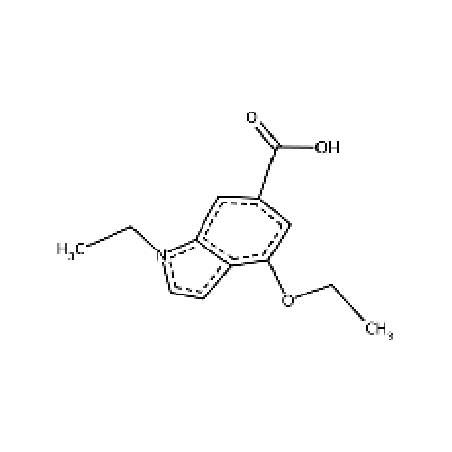 CCOc1cc(C(=O)O)cc2c1ccn2CC